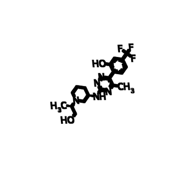 Cc1nc(N[C@@H]2CCCN([C@H](C)CO)C2)nnc1-c1ccc(C(F)(F)F)cc1O